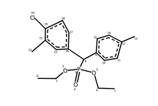 CCOP(=O)(OCC)C(c1ccc(C)cc1)c1ccc(Cl)c(C)c1